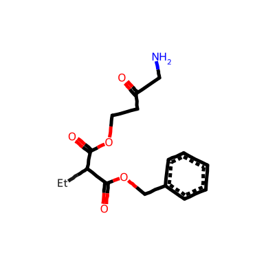 CCC(C(=O)OCCC(=O)CN)C(=O)OCc1ccccc1